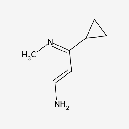 C/N=C(\C=C\N)C1CC1